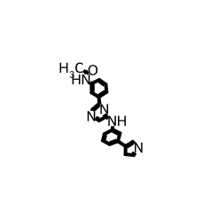 CC(=O)Nc1cccc(-c2cncc(Nc3cccc(C4=CN=CC4)c3)n2)c1